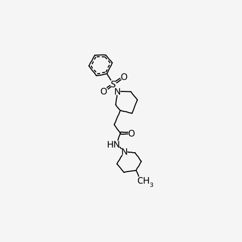 CC1CCN(NC(=O)CC2CCCN(S(=O)(=O)c3ccccc3)C2)CC1